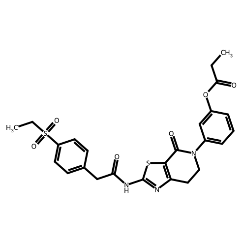 CCC(=O)Oc1cccc(N2CCc3nc(NC(=O)Cc4ccc(S(=O)(=O)CC)cc4)sc3C2=O)c1